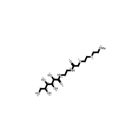 COCCOCCOCC(=O)NCCNC(=O)C(O)C(O)C(O)C(O)CO